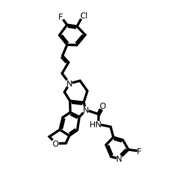 O=C(NCc1ccnc(F)c1)n1c2c(c3cc4c(cc31)COC4)CN(C/C=C/c1ccc(Cl)c(F)c1)CC2